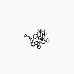 NCC1(O)CCC(N(CCC2CC2)c2cccc3c2CN(C2CCC(=O)NC2=O)C3=O)CC1